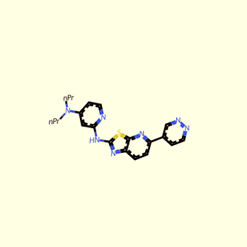 CCCN(CCC)c1ccnc(Nc2nc3ccc(-c4ccnnc4)nc3s2)c1